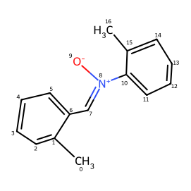 Cc1ccccc1C=[N+]([O-])c1ccccc1C